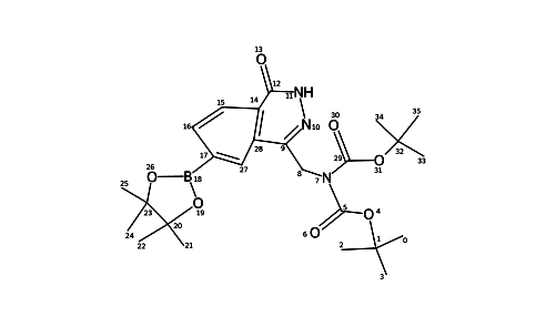 CC(C)(C)OC(=O)N(Cc1n[nH]c(=O)c2ccc(B3OC(C)(C)C(C)(C)O3)cc12)C(=O)OC(C)(C)C